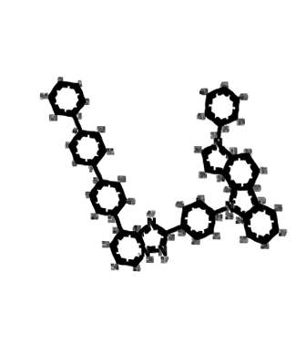 c1ccc(-c2ccc(-c3ccc(-c4cccn5nc(-c6ccc(-n7c8ccccc8c8ccc9c(ccn9-c9ccccc9)c87)cc6)nc45)cc3)cc2)cc1